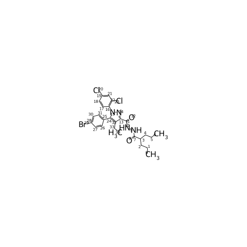 CCCC(CCC)C(=O)NNC(=O)c1nn(-c2ccc(Cl)cc2Cl)c(-c2ccc(Br)cc2)c1CC